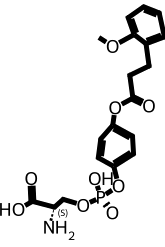 COc1ccccc1CCC(=O)Oc1ccc(OP(=O)(O)OC[C@H](N)C(=O)O)cc1